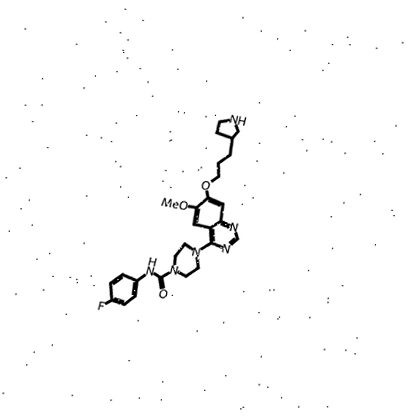 COc1cc2c(N3CCN(C(=O)Nc4ccc(F)cc4)CC3)ncnc2cc1OCCCC1CCNC1